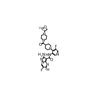 [2H]c1nc2c(C(=O)Nc3cncc(F)c3N3CCC(C(=O)N4CCN(C5CO[13CH2]5)CC4)CC3)c(N)nn2cc1F